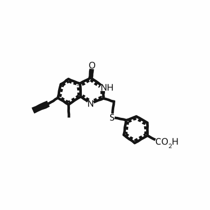 C#Cc1ccc2c(=O)[nH]c(CSc3ccc(C(=O)O)cc3)nc2c1C